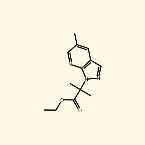 CCOC(=O)C(C)(C)n1ncc2cc(C)cnc21